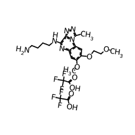 COCCOc1cc2c(cc1OC)nc(NCCCCN)c1nnc(C)n12.O=C(O)C(F)(F)F.O=C(O)C(F)(F)F